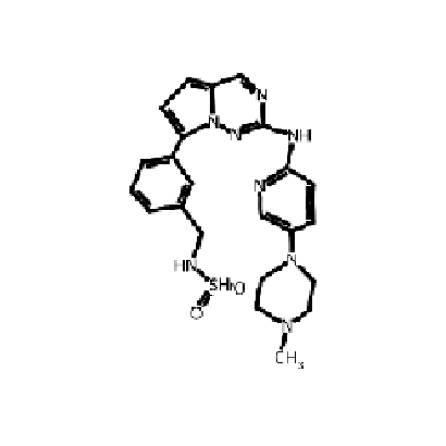 CN1CCN(c2ccc(Nc3ncc4ccc(-c5cccc(CN[SH](=O)=O)c5)n4n3)nc2)CC1